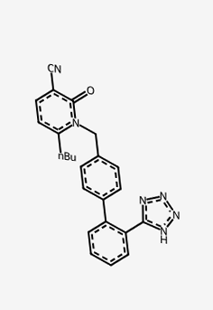 CCCCc1ccc(C#N)c(=O)n1Cc1ccc(-c2ccccc2-c2nnn[nH]2)cc1